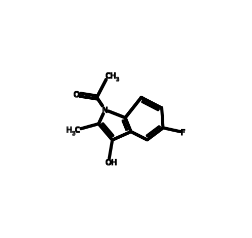 CC(=O)n1c(C)c(O)c2cc(F)ccc21